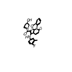 Cc1cc(Nc2c(C(=O)N3CC[C@H](O)C3)sc3c2ccc(=O)n3-c2ccccc2Cl)ccc1F